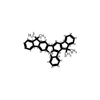 CC1(C)c2ccccc2-c2cc3c(cc21)c1cc2c(c4c5ccccc5n3c14)C(C)(C)c1ccccc1-2